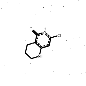 O=c1[nH]c(Cl)cc2c1CCCN2